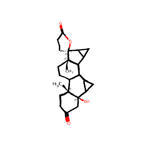 C[C@]12CCC3C(C4CC4[C@]4(O)CC(=O)CC[C@]34C)C1C1CC1[C@@]21CCC(=O)O1